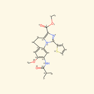 CCOC(=O)c1nc(-c2cccs2)n2c1CCc1cc(OC)c(NC(=O)C(C)C)cc1-2